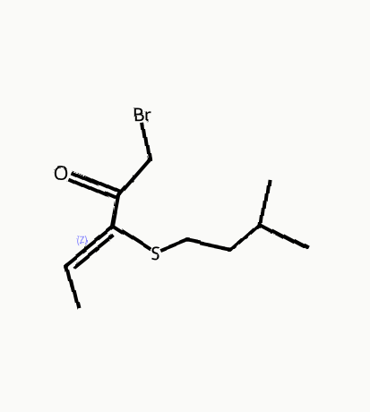 C/C=C(\SCCC(C)C)C(=O)CBr